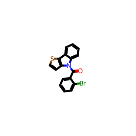 O=C(c1ccccc1Br)n1c2ccccc2c2sccc21